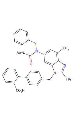 CCCc1nc2c(C)cc(N(Cc3ccccc3)C(=O)NC)cc2n1Cc1ccc(-c2ccccc2C(=O)O)cc1